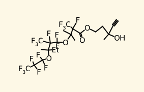 C#CC(C)(O)CCOC(=O)C(F)(C(F)(F)F)C(C)(C)OC(F)(F)C(F)(C(F)(F)F)C(C)(CC)OC(F)(F)C(F)(F)C(F)(F)F